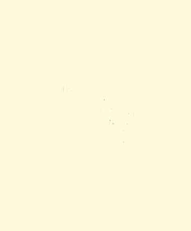 CC(C=O)Oc1ccc(Oc2ncc(Cl)cc2Cl)cc1